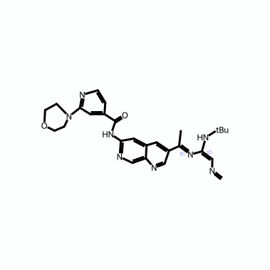 C=N/C=C(\N=C(/C)c1cnc2cnc(NC(=O)c3ccnc(N4CCOCC4)c3)cc2c1)NC(C)(C)C